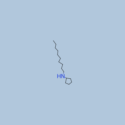 CCCCCCCCCCNC1CCCC1